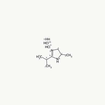 CC1CN=C(C(C)C)N1.Cl.Cl.[HH]